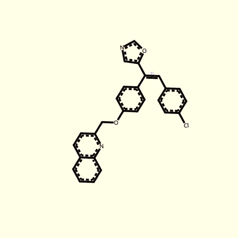 Clc1ccc(/C=C(\c2ccc(OCc3ccc4ccccc4n3)cc2)c2cnco2)cc1